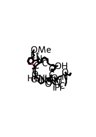 C=CC(=O)N1CCCCCN([C@H](C(=O)N[C@H]2Cc3cc(O)cc(c3)-c3ccc4c(c3)c(c(-c3ccccc3CCOC)n4CC)CC(C)(C)COC(=O)[C@@]3(O)CCCN(N3)C2=O)C(C)C)C(=O)CC1